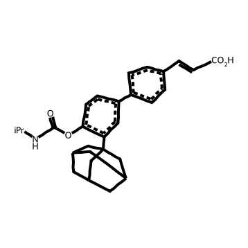 CC(C)NC(=O)Oc1ccc(-c2ccc(C=CC(=O)O)cc2)cc1C12CC3CC(CC(C3)C1)C2